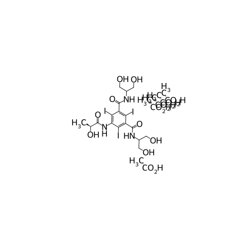 CC(=O)O.CC(=O)O.CC(=O)O.CC(=O)O.CC(=O)O.C[C@H](O)C(=O)Nc1c(I)c(C(=O)NC(CO)CO)c(I)c(C(=O)NC(CO)CO)c1I